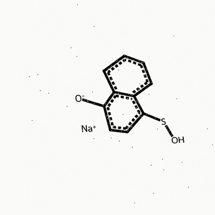 [Na+].[O-]c1ccc(SO)c2ccccc12